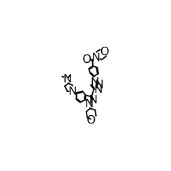 CN(C)C1CCN(c2ccc3c(c2)c(-c2cn(-c4ccc(C(=O)N5CCOCC5)cc4)nn2)nn3C2CCOCC2)C1